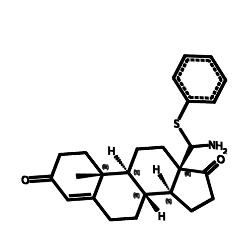 C[C@]12CCC(=O)C=C1CC[C@@H]1[C@@H]2CC[C@]2(C(N)Sc3ccccc3)C(=O)CC[C@@H]12